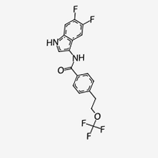 O=C(Nc1c[nH]c2cc(F)c(F)cc12)c1ccc(CCOC(F)(F)F)cc1